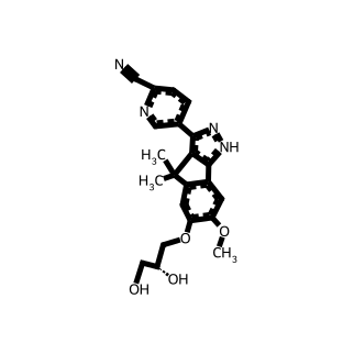 COc1cc2c(cc1OC[C@H](O)CO)C(C)(C)c1c(-c3ccc(C#N)nc3)n[nH]c1-2